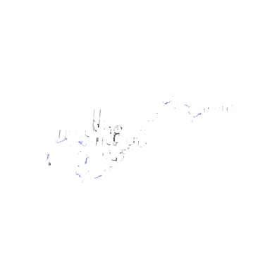 CC/C=C\C/C=C\C/C=C\C/C=C\C/C=C\C/C=C\CCC(=O)O[C@H](COC(=O)CCCCCC/C=C\C/C=C\C/C=C\CCCCC)COP(=O)(O)OC[C@H](N)C(=O)O